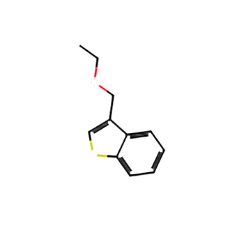 [CH2]COCc1csc2ccccc12